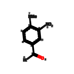 CCC(=O)c1ccc(NC)c([N+](=O)[O-])c1